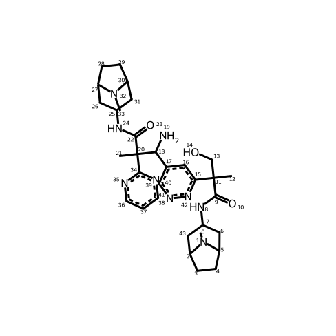 CN1C2CCC1CC(NC(=O)C(C)(CO)c1cc(C(N)C(C)(C(=O)NC3CC4CCC(C3)N4C)c3ncccn3)cnn1)C2